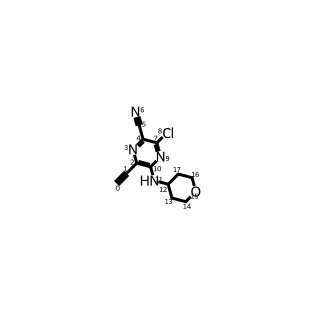 C#Cc1nc(C#N)c(Cl)nc1NC1CCOCC1